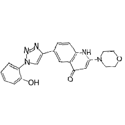 O=c1cc(N2CCOCC2)[nH]c2ccc(-c3cn(-c4ccccc4O)nn3)cc12